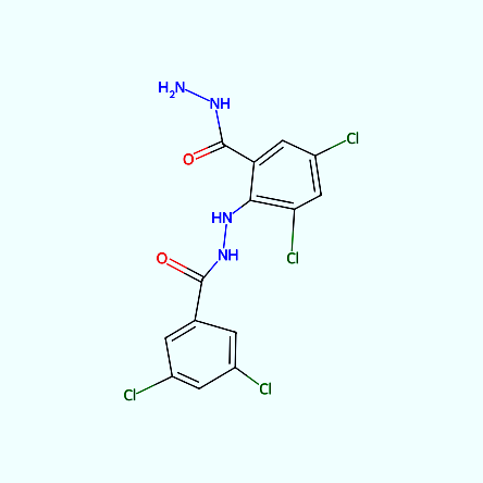 NNC(=O)c1cc(Cl)cc(Cl)c1NNC(=O)c1cc(Cl)cc(Cl)c1